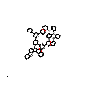 c1ccc(-c2cc(-c3ccccc3)nc(-c3ccc(-n4c5ccccc5c5c6sc7ccccc7c6ccc54)c(-c4nc(-c5ccccc5)nc(-c5cccc(-c6ccc7c8c6N(c6ccccc6)c6ccccc6B8c6ccccc6N7c6ccccc6)c5)n4)c3)n2)cc1